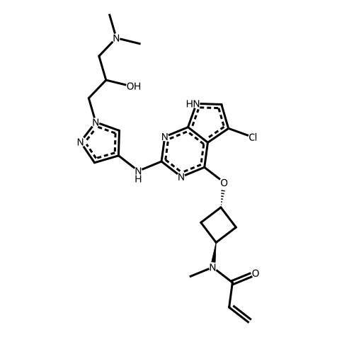 C=CC(=O)N(C)[C@H]1C[C@H](Oc2nc(Nc3cnn(CC(O)CN(C)C)c3)nc3[nH]cc(Cl)c23)C1